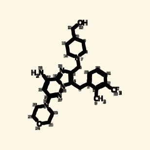 Cc1c(Cc2c(CN3CCC(CO)CC3)nc3c(N)cc(N4CCOCC4)nn23)cccc1C(F)(F)F